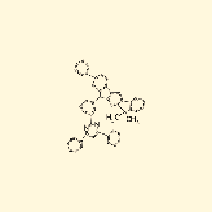 CC1(C)c2ccccc2-c2cc3c(cc21)C(c1cccc(-c2nc(-c4ccccc4)cc(-c4ccccc4)n2)c1)c1cc(-c2ccccc2)ccc1-3